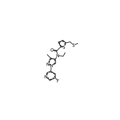 CCN(C(=O)c1ccc(CSC)s1)c1cn(-c2cncc(F)c2)nc1C